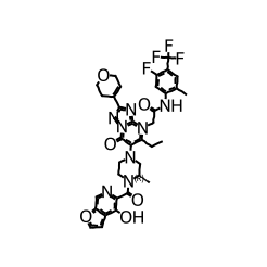 CCc1c(N2CCN(C(=O)c3ncc4occc4c3O)[C@H](C)C2)c(=O)n2nc(C3=CCOCC3)nc2n1CC(=O)Nc1cc(F)c(C(F)(F)F)cc1C